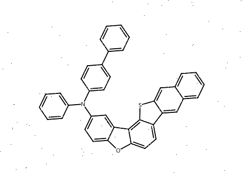 c1ccc(-c2ccc(N(c3ccccc3)c3ccc4oc5ccc6c7cc8ccccc8cc7sc6c5c4c3)cc2)cc1